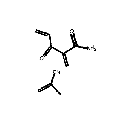 C=C(C)C#N.C=CC(=O)C(=C)C(N)=O